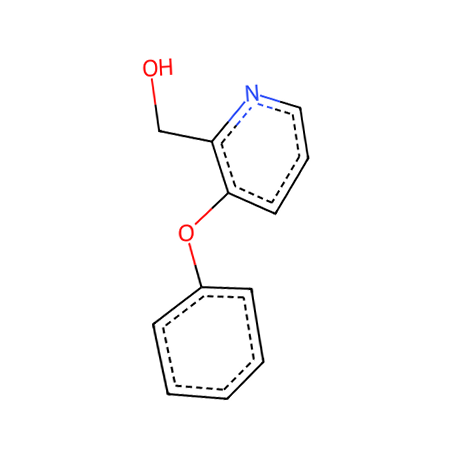 OCc1ncccc1Oc1ccccc1